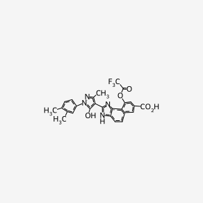 Cc1ccc(-n2nc(C)c(-c3nc4c(ccc5cc(C(=O)O)cc(OC(=O)C(F)(F)F)c54)[nH]3)c2O)cc1C